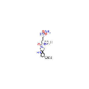 COc1ccc2[nH]c3c(c2c1)CCN(C(=O)C(CCCCNS(N)(=O)=O)NC(=O)O)C3